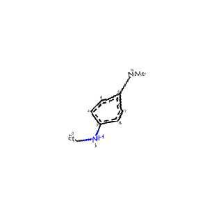 CCNc1ccc([N]C)cc1